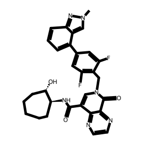 Cn1cc2c(-c3cc(F)c(Cn4cc(C(=O)N[C@H]5CCCCC[C@@H]5O)c5nccnc5c4=O)c(F)c3)cccc2n1